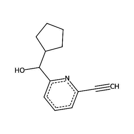 C#Cc1cccc(C(O)C2CCCC2)n1